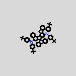 CC(C)(C)c1ccc(N(c2ccc(C(C)(C)C)cc2)c2cc3c(c4c2-c2ccccc2C4)-c2c(cc(N(c4ccc(C(C)(C)C)cc4)c4ccc(C(C)(C)C)cc4)c4ccccc24)C32c3ccccc3-c3ccccc32)cc1